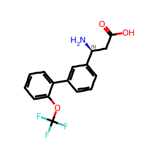 N[C@@H](CC(=O)O)c1cccc(-c2ccccc2OC(F)(F)F)c1